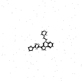 C1=C2C(c3nc(C4CCCC4)no3)=NCN2c2ccccc2N1CCN1CCOCC1